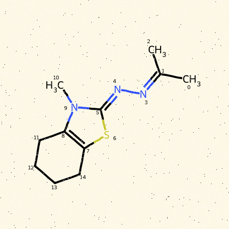 CC(C)=NN=c1sc2c(n1C)CCCC2